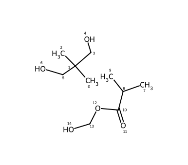 CC(C)(CO)CO.CC(C)C(=O)OCO